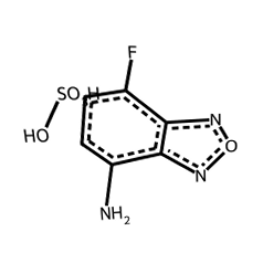 Nc1ccc(F)c2nonc12.O=S(=O)(O)O